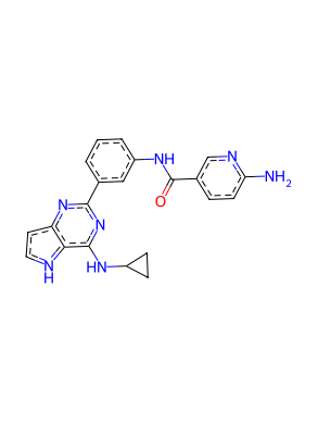 Nc1ccc(C(=O)Nc2cccc(-c3nc(NC4CC4)c4[nH]ccc4n3)c2)cn1